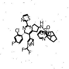 O=S(=O)(NC1CC2=C(c3cnn(C(F)F)c3)[C@H](c3ccc(F)cc3Cl)N=C(c3nccs3)N2C1)N1CC2CCC(C1)C2(O)c1ccccn1